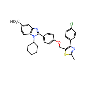 Cc1nc(-c2ccc(Cl)cc2)c(COc2ccc(-c3nc4cc(C(=O)O)ccc4n3C3CCCCC3)cc2)s1